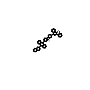 c1ccc2cc(-c3c4ccccc4c(-c4ccc5c(c4)sc4cc(-c6cc7c8ccccc8oc7c7ccccc67)ccc45)c4ccccc34)ccc2c1